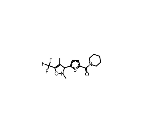 CC1=C(C(F)(F)F)ON(C)C1c1ccc(C(=O)N2CCCCC2)s1